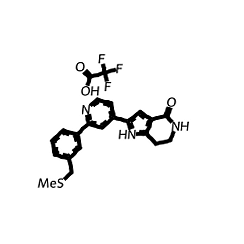 CSCc1cccc(-c2cc(-c3cc4c([nH]3)CCNC4=O)ccn2)c1.O=C(O)C(F)(F)F